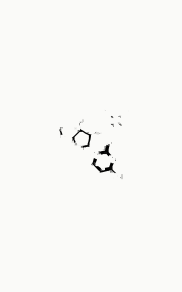 F[B-](F)(F)F.Nc1ccn([C@@H]2O[C@H](CO)[C@@H](O)[C@H]2O)c(=O)n1